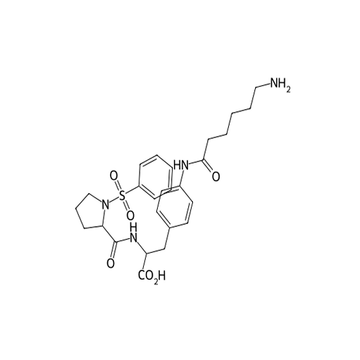 NCCCCCC(=O)Nc1ccc(CC(NC(=O)C2CCCN2S(=O)(=O)c2ccccc2)C(=O)O)cc1